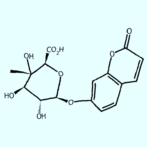 C[C@@]1(O)[C@@H](C(=O)O)O[C@@H](Oc2ccc3ccc(=O)oc3c2)[C@H](O)[C@H]1O